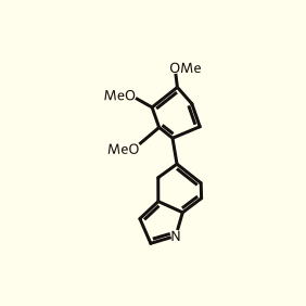 COc1ccc(C2=CC=C3N=CC=C3C2)c(OC)c1OC